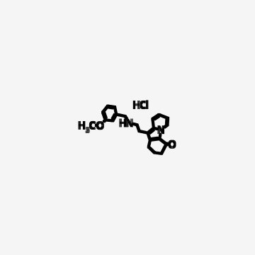 COc1cccc(CNCCc2c3c(n4ccccc24)C(=O)CCC3)c1.Cl